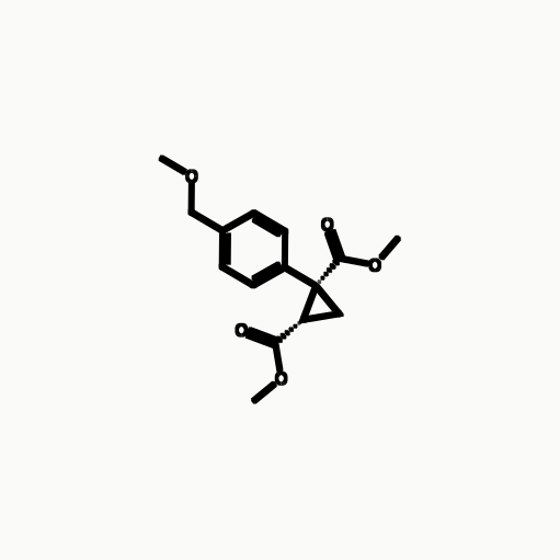 COCc1ccc([C@@]2(C(=O)OC)C[C@@H]2C(=O)OC)cc1